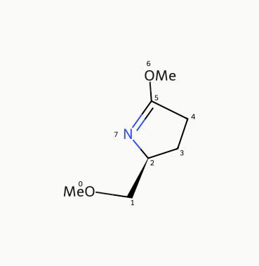 COC[C@@H]1CCC(OC)=N1